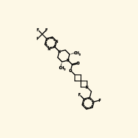 C[C@@H]1CN(c2ncc(C(F)(F)F)cn2)C[C@H](C)N1C(=O)OC1CC2(C1)CN(Cc1c(F)cccc1F)C2